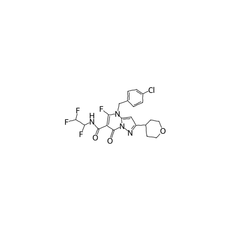 O=C(NC(F)C(F)F)c1c(F)n(Cc2ccc(Cl)cc2)c2cc(C3CCOCC3)nn2c1=O